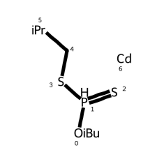 CC(C)CO[PH](=S)SCC(C)C.[Cd]